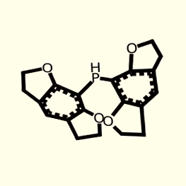 c1c2c(c(Pc3c4c(cc5c3OCC5)CCO4)c3c1CCO3)OCC2